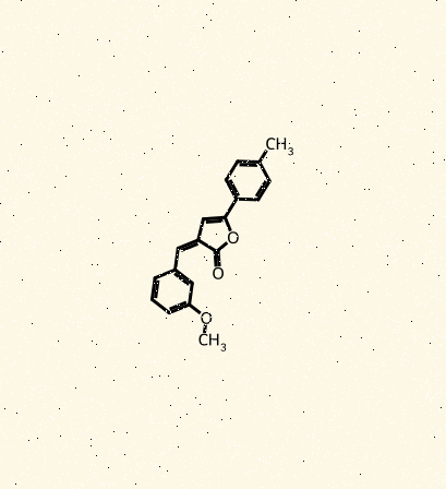 COc1cccc(/C=C2/C=C(c3ccc(C)cc3)OC2=O)c1